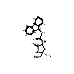 C[C@@]1(CO)C[C@H](NC(=O)OC2c3ccccc3-c3ccccc32)C(=O)O1